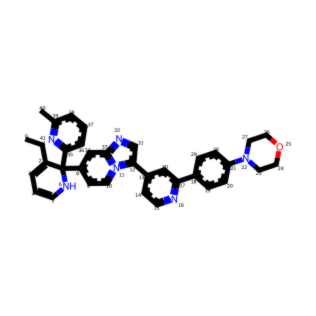 CCC1=CC=CNC1(c1ccn2c(-c3ccnc(-c4ccc(N5CCOCC5)cc4)c3)cnc2c1)c1cccc(C)n1